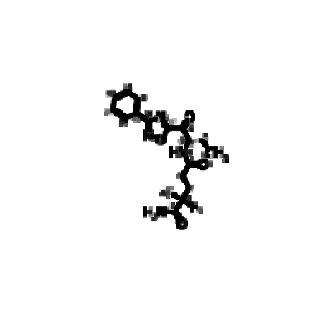 CC[C@H](NC(=O)[CH]CC(F)(F)C(N)=O)C(=O)c1nc(-c2ccccc2)no1